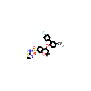 CC1(C)CC(Oc2ccc(C(F)(F)F)cc2-c2ccc(F)cc2)c2ccc(S(=O)(=O)Nc3nccs3)cc2O1